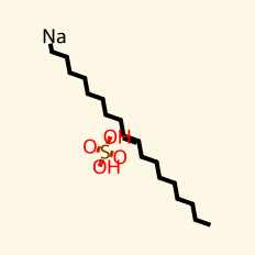 CCCCCCCCC=CCCCCCCC[CH2][Na].O=S(=O)(O)O